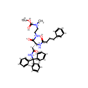 CN(CCNC(=O)[C@@H](CC(=O)NC(c1ccccc1)(c1ccccc1)c1ccccc1)NC(=O)CCCc1ccccc1)C(=O)OC(C)(C)C